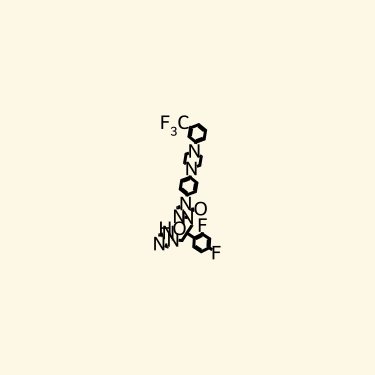 O=c1n(-c2ccc(N3CCN(c4cccc(C(F)(F)F)c4)CC3)cc2)cnn1CC(O)(Cn1cncn1)c1ccc(F)cc1F